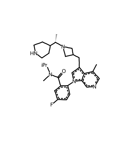 Cc1cncc2c1c(CC1CN([C@@H](C)C3CCNCC3)C1)cn2-c1ccc(F)cc1C(=O)N(C)C(C)C